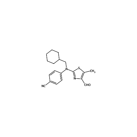 Cc1sc(N(CC2CCCCC2)c2ccc(C#N)cc2)nc1C=O